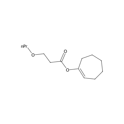 CCCOCCC(=O)OC1=CCCCCC1